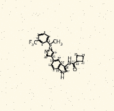 C[C@H](c1cccc(C(F)(F)F)c1)n1cc(-c2ccc3[nH]cc(NC(=O)C4CCC4)c3c2)cn1